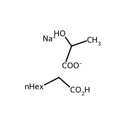 CC(O)C(=O)[O-].CCCCCCCC(=O)O.[Na+]